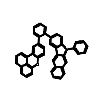 c1ccc(-n2c3ccc(-c4ccccc4-c4ccc5c(c4)-c4cccc6cccc(c46)O5)cc3c3cc4ccccc4cc32)cc1